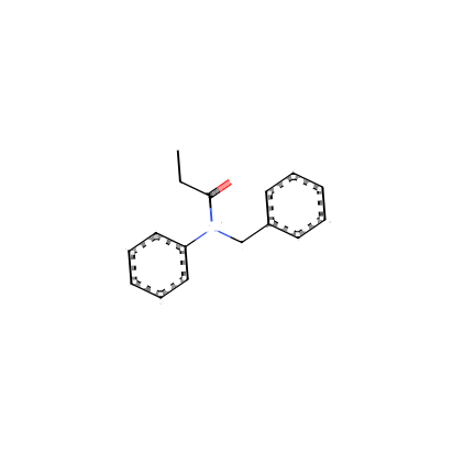 CCC(=O)N(Cc1ccccc1)c1[c]cccc1